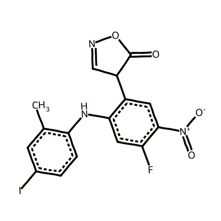 Cc1cc(I)ccc1Nc1cc(F)c([N+](=O)[O-])cc1C1C=NOC1=O